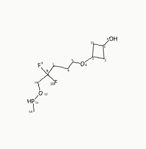 OC1CC(OCCCC(F)(F)COPI)C1